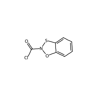 O=C(Cl)N1Oc2ccccc2S1